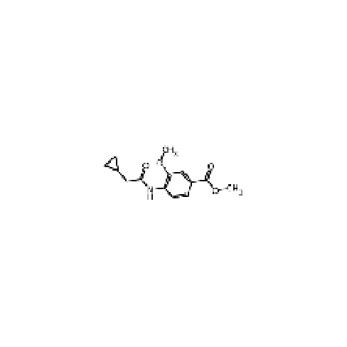 COC(=O)c1ccc(NC(=O)CC2CC2)c(OC)c1